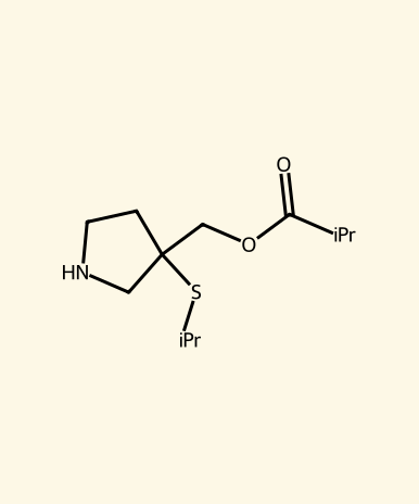 CC(C)SC1(COC(=O)C(C)C)CCNC1